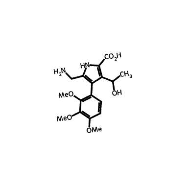 COc1ccc(-c2c(CN)[nH]c(C(=O)O)c2C(C)O)c(OC)c1OC